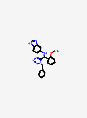 COc1ccccc1C(Nc1ccc2[nH]cnc2c1)c1nnnn1Cc1ccccc1